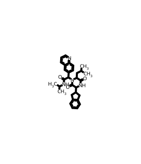 CC(C)CC1C(=O)NC(C2Cc3ccccc3C2)C(=O)N1C(C(=O)NC(C)C)c1ccc2ncccc2c1